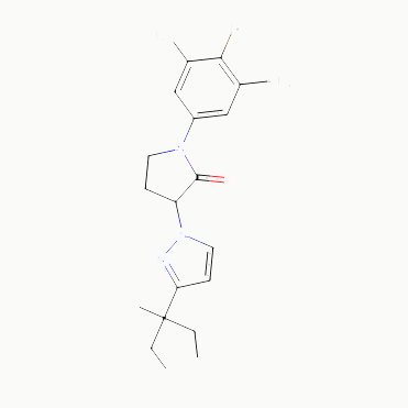 CCC(C)(CC)c1ccn(C2CCN(c3cc(C)c(Br)c(C)c3)C2=O)n1